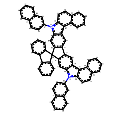 c1ccc2c(c1)-c1ccccc1C21c2cc3c(cc2-c2cc4c5c6ccccc6ccc5n(-c5ccc6ccccc6c5)c4cc21)c1c2ccccc2ccc1n3-c1ccc2ccccc2c1